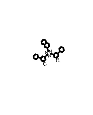 Clc1cc(-c2ccccc2)cc(-c2nc(-c3cc(Cl)cc(-c4ccccc4)c3)nc(-c3ccc4ccccc4c3)n2)c1